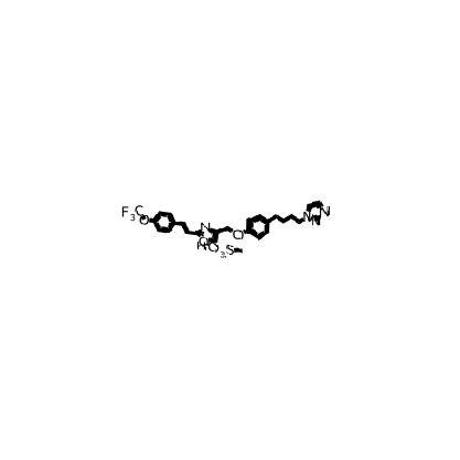 CS(=O)(=O)O.FC(F)(F)Oc1ccc(C=Cc2nc(COc3ccc(CCCCn4ccnn4)cc3)co2)cc1